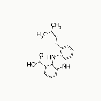 CC(C)=CCc1cccc2c1Nc1c(cccc1C(=O)O)N2